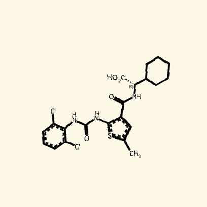 Cc1cc(C(=O)N[C@H](C(=O)O)C2CCCCC2)c(NC(=O)Nc2c(Cl)cccc2Cl)s1